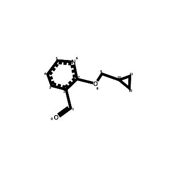 O=Cc1cccnc1OCC1CC1